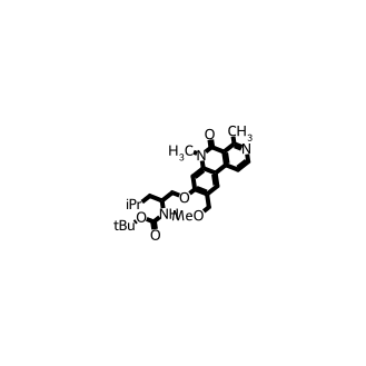 COCc1cc2c3ccnc(C)c3c(=O)n(C)c2cc1OCC(CC(C)C)NC(=O)OC(C)(C)C